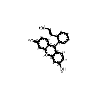 CC(C)(C)C=Cc1ccccc1-c1c2ccc(=O)cc-2oc2cc(O)ccc12